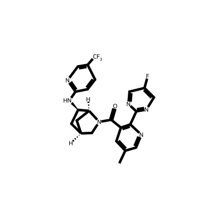 Cc1cnc(-c2ncc(F)cn2)c(C(=O)N2C[C@H]3C[C@@H](Nc4ccc(C(F)(F)F)cn4)[C@@H]2C3)c1